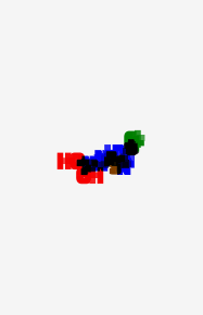 OCCN(CCO)CCn1cc2c(ccc3c2sc2ncnc(Nc4ccc(F)c(Cl)c4)c23)n1